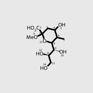 COC1(C(=O)O)CC(O)C(C)C([C@H](O)[C@H](O)CO)O1